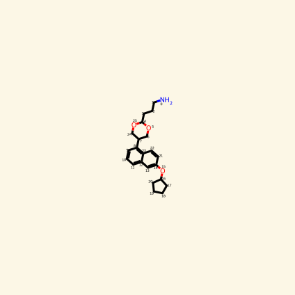 NCCCC1OCC(c2cccc3cc(OC4CCCC4)ccc23)CO1